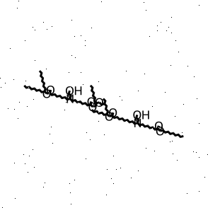 CCCCCCCCCOC(=O)CCCCCCCN(CCO)CCCCCCCCCC(=O)OC(CCCCCC)CCCC(CC)COC(CCCCCCC)COC(=O)CCCCCCCN(CCO)CCCCCCCC(=O)OC(CCCCCCCC)CCCCCCCC